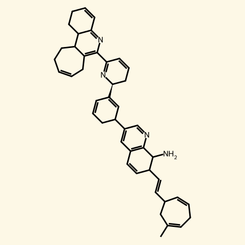 CC1=CCC=CC(/C=C/C2C=Cc3cc(C4C=C([C@@H]5CC=CC(C6=C7CC=CCCC7C7CCC=CC7=N6)=N5)C=CC4)cnc3C2N)C1